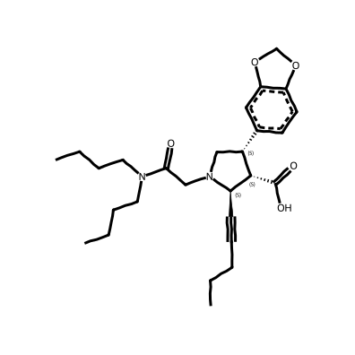 CCCC#C[C@@H]1[C@@H](C(=O)O)[C@@H](c2ccc3c(c2)OCO3)CN1CC(=O)N(CCCC)CCCC